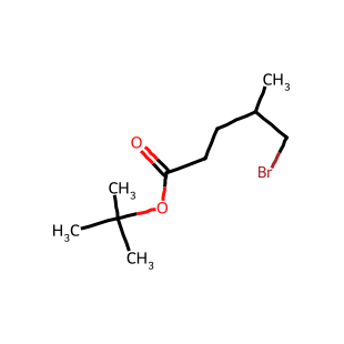 CC(CBr)CCC(=O)OC(C)(C)C